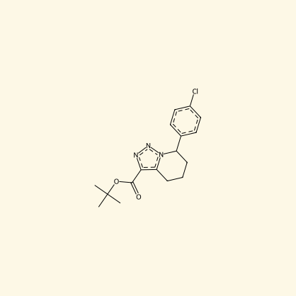 CC(C)(C)OC(=O)c1nnn2c1CCCC2c1ccc(Cl)cc1